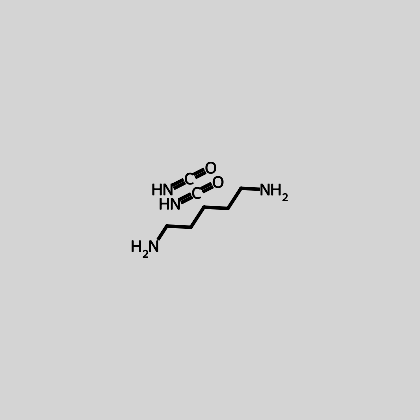 N=C=O.N=C=O.NCCCCCN